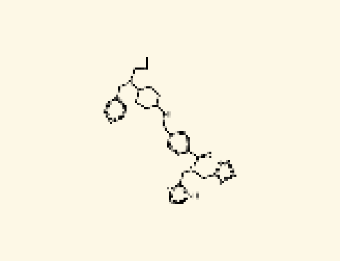 CCCN(Cc1ccccc1)C1CCC(NCc2ccc(C(=O)N(Cc3ncc[nH]3)Cc3ncc[nH]3)cc2)CC1